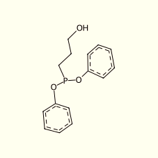 OCCCP(Oc1ccccc1)Oc1ccccc1